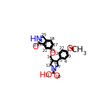 COc1ccc(C2CN(C(=O)O)CC2COc2ccc3c(c2)C(=O)NC3)cc1